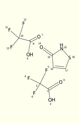 O=C(O)C(F)(F)F.O=C(O)C(F)(F)F.O=c1ccs[nH]1